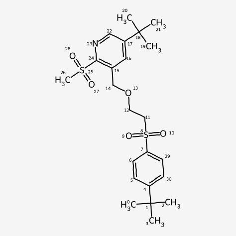 CC(C)(C)c1ccc(S(=O)(=O)CCOCc2cc(C(C)(C)C)cnc2S(C)(=O)=O)cc1